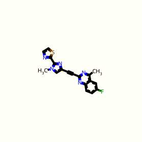 Cc1nc(C#Cc2cn(C)c(-c3nccs3)n2)nc2ccc(F)cc12